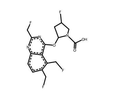 O=C(O)N1CC(F)CC1Oc1nc(CF)nc2ccc(CF)c(CF)c12